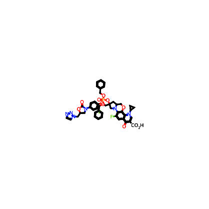 O=C(O)c1cn(C2CC2)c2c3c(c(F)cc2c1=O)N1CC(COc2ccc(N4CC(Cn5ccnn5)OC4=O)cc2F)(OP(=O)(OCc2ccccc2)OCc2ccccc2)CC1CO3